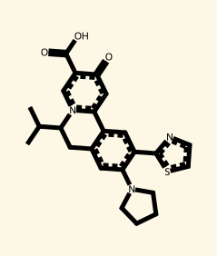 CC(C)C1Cc2cc(N3CCCC3)c(-c3nccs3)cc2-c2cc(=O)c(C(=O)O)cn21